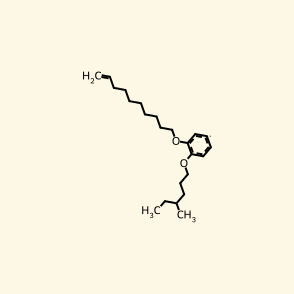 C=CCCCCCCCCOc1c[c]ccc1OCCCC(C)CC